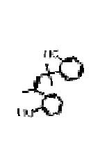 CC(=CC(C)(C)c1ccccc1O)c1ccccc1O